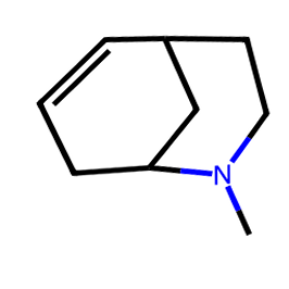 CN1CCC2C=CCC1C2